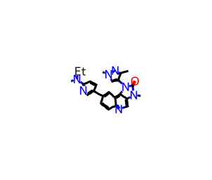 CCN(C)c1ccc(-c2ccc3ncc4c(c3c2)n(-c2cn(C)nc2C)c(=O)n4C)cn1